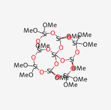 CO[Si]1(OC)O[Si]2(OC)O[Si](OC)(OC)O[Si]3(OC)O[Si](OC)(OC)O[Si]4(OC)O[Si](OC)(OC)O[Si](OC)(O1)O[Si](O2)(O3)O4